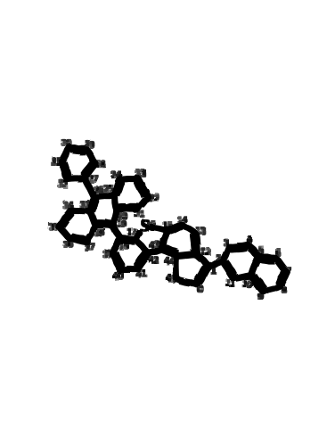 C1=C(c2ccc3ccccc3c2)c2ccc3sc4c(-c5c6ccccc6c(-c6ccccc6)c6ccccc56)cccc4c3c2C1